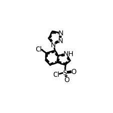 O=S(=O)(Cl)c1c[nH]c2c(-n3ccnn3)c(Cl)ccc12